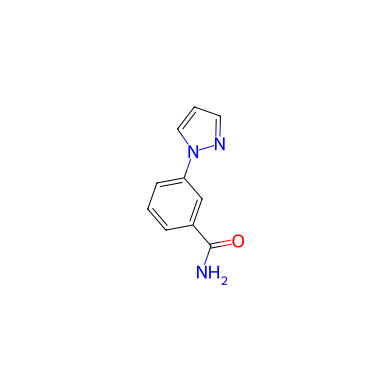 NC(=O)c1cccc(-n2cccn2)c1